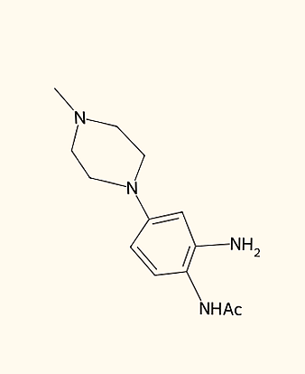 CC(=O)Nc1ccc(N2CCN(C)CC2)cc1N